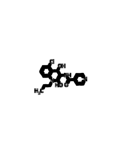 CCCN1C(O)=C(NC(=O)c2ccncc2)C(O)c2c(Cl)cccc21